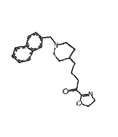 O=C(CCCC1CCN(Cc2ccc3ccccc3c2)CC1)C1=NCCO1